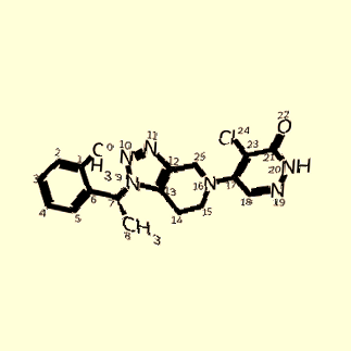 Cc1ccccc1[C@H](C)n1nnc2c1CCN(c1cn[nH]c(=O)c1Cl)C2